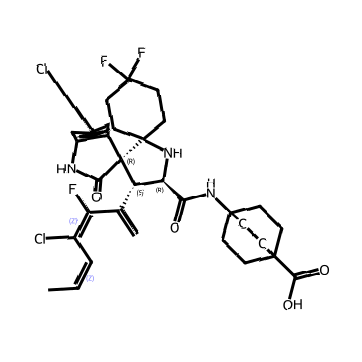 C=C(/C(F)=C(Cl)\C=C/C)[C@H]1[C@H](C(=O)NC23CCC(C(=O)O)(CC2)CC3)NC2(CCC(F)(F)CC2)[C@@]12C(=O)Nc1cc(Cl)ccc12